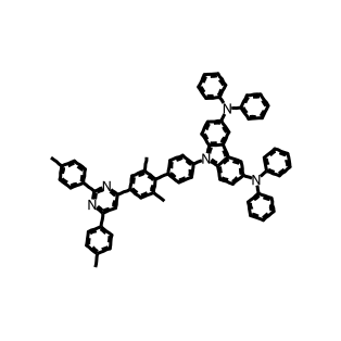 Cc1ccc(-c2cc(-c3cc(C)c(-c4ccc(-n5c6ccc(N(c7ccccc7)c7ccccc7)cc6c6cc(N(c7ccccc7)c7ccccc7)ccc65)cc4)c(C)c3)nc(-c3ccc(C)cc3)n2)cc1